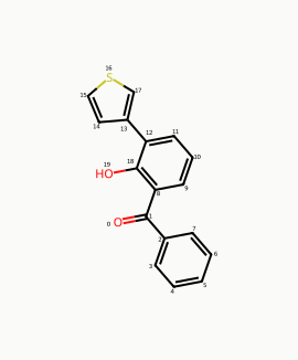 O=C(c1ccccc1)c1cccc(-c2ccsc2)c1O